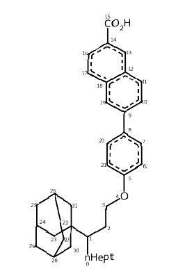 CCCCCCCC(CCOc1ccc(-c2ccc3cc(C(=O)O)ccc3c2)cc1)C12CC3CC(CC(C3)C1)C2